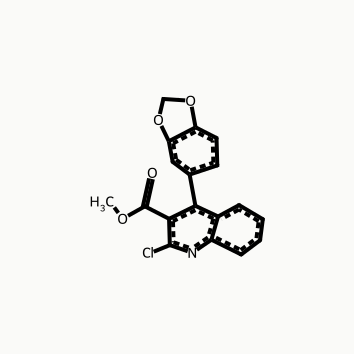 COC(=O)c1c(Cl)nc2ccccc2c1-c1ccc2c(c1)OCO2